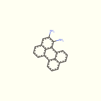 Nc1cc2cccc3c4cccc5cccc(c(c1N)c23)c54